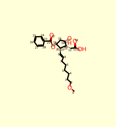 COCCCCCCC=C[C@@H]1[C@@H](CC(=O)O)[C@@H](O)C[C@H]1OC(=O)c1ccccc1